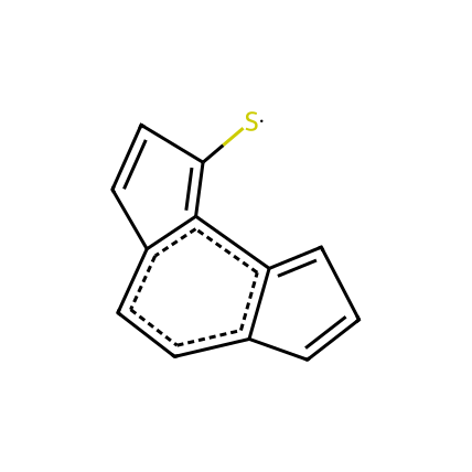 [S]C1=c2c(ccc3c2=CC=C3)C=C1